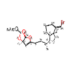 COCO[C@]1(C)C=C(CC[C@@H](C)[C@H]2CCC3C(=CBr)CCC[C@@]32C)OC1=O